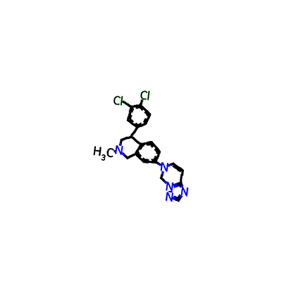 CN1Cc2cc(N3C=Cc4ncnn4C3)ccc2C(c2ccc(Cl)c(Cl)c2)C1